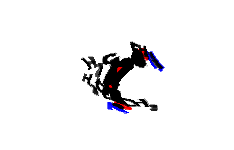 CCCC12CC3(c4ccc(OC#N)c(C)c4)CC(c4ccc(OC#N)c(C)c4)(C1)CC(C(C)C)(C2)C3